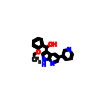 OC(c1ccccc1OCC(F)(F)F)c1c[nH]c2ncc(-c3cccnc3)cc12